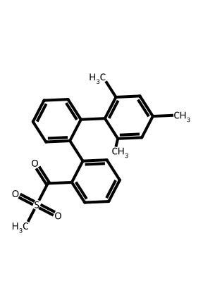 Cc1cc(C)c(-c2ccccc2-c2ccccc2C(=O)S(C)(=O)=O)c(C)c1